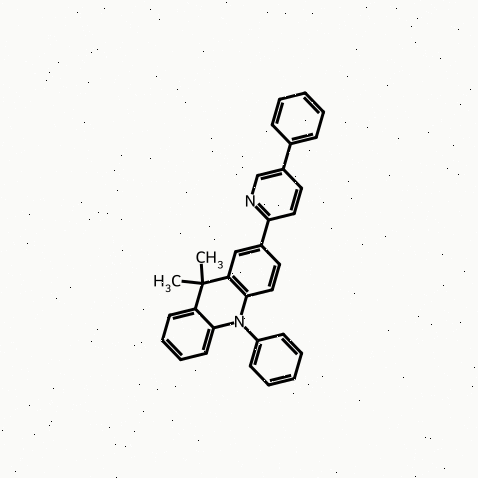 CC1(C)c2ccccc2N(c2ccccc2)c2ccc(-c3ccc(-c4ccccc4)cn3)cc21